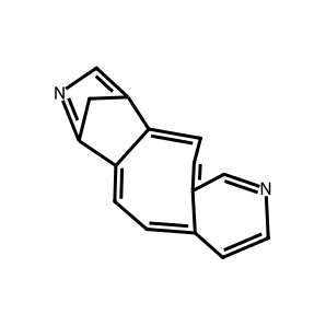 C1=C2CC(=N1)/C1=C/C=c3/ccnc/c3=C\C=C/21